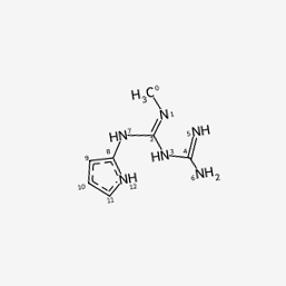 C/N=C(/NC(=N)N)Nc1ccc[nH]1